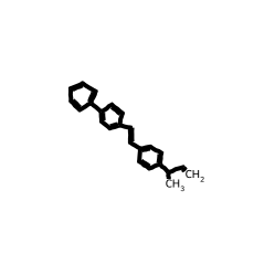 C=CC(C)c1ccc(/C=C/c2ccc(-c3ccccc3)cc2)cc1